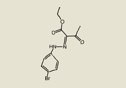 CCOC(=O)C(=NNc1ccc(Br)cc1)C(C)=O